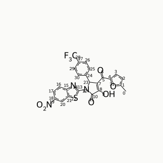 Cc1ccc(C(=O)C2=C(O)C(=O)N(c3nc4ccc([N+](=O)[O-])cc4s3)C2c2ccc(C(F)(F)F)cc2)o1